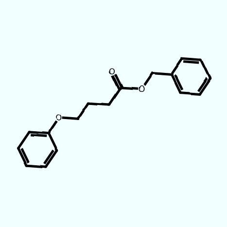 O=C(CCCOc1ccccc1)OCc1ccccc1